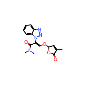 CC1=CC(O/C=C(/C(=O)N(C)C)n2nnc3ccccc32)OC1=O